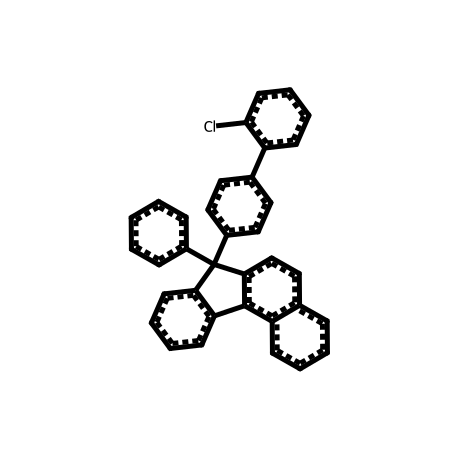 Clc1ccccc1-c1ccc(C2(c3ccccc3)c3ccccc3-c3c2ccc2ccccc32)cc1